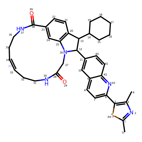 Cc1nc(C)c(-c2ccc3cc(C4C(C5CCCCC5)c5ccc6cc5N4CC(=O)NCC/C=C\CCNC6=O)ccc3n2)s1